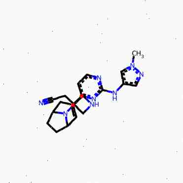 Cn1cc(Nc2nccc(C3=CC4CCC(C3)N4C3(CC#N)CNC3)n2)cn1